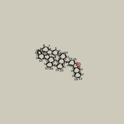 c1ccc2c(c1)-c1ccccc1C21c2cc(-c3c4ccccc4c(-c4ccc5oc6cc7ccccc7cc6c5c4)c4ccccc34)c3ccccc3c2-c2ccc3ccccc3c21